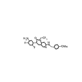 COc1ccc(CNc2cc3c(cn2)cc(-c2cc(N)c(F)cc2F)c(=O)n3CC(F)(F)F)cc1